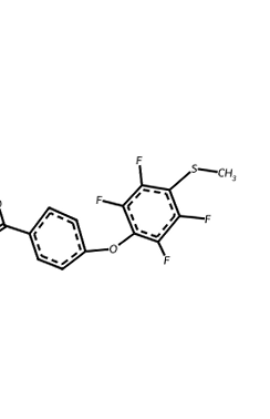 CSc1c(F)c(F)c(Oc2ccc(C(=O)O)cc2)c(F)c1F